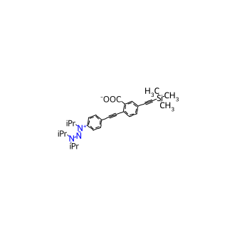 CC(C)N(N=[N+](c1ccc(C#Cc2ccc(C#C[Si](C)(C)C)cc2C(=O)[O-])cc1)C(C)C)C(C)C